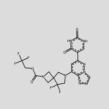 O=C(OCC(F)(F)F)N1CC2(C1)CN(c1cc(-c3c[nH]c(=O)[nH]c3=O)nn3ccnc13)CC2(F)F